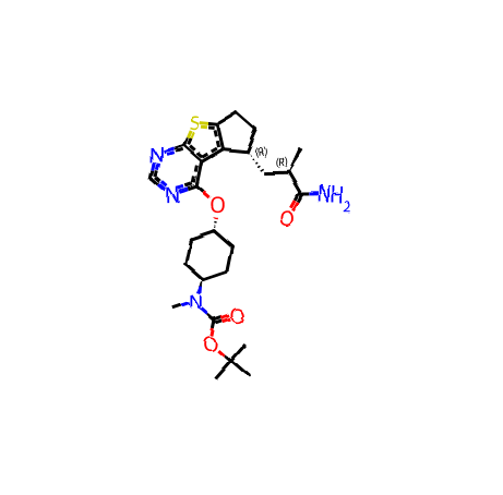 C[C@H](C[C@H]1CCc2sc3ncnc(O[C@H]4CC[C@H](N(C)C(=O)OC(C)(C)C)CC4)c3c21)C(N)=O